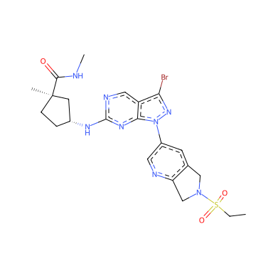 CCS(=O)(=O)N1Cc2cc(-n3nc(Br)c4cnc(N[C@@H]5CC[C@@](C)(C(=O)NC)C5)nc43)cnc2C1